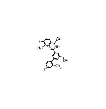 Cc1cc(F)ccc1-c1cc(CO)cc(C(=O)N[C@@H](c2ccc(F)c(C)n2)C2CC2)c1